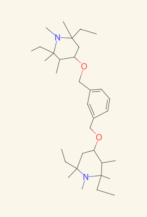 CCC1(C)CC(OCc2cccc(COC3CC(C)(CC)N(C)C(C)(CC)C3C)c2)C(C)C(C)(CC)N1C